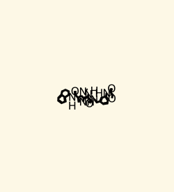 O=C1COc2ccc(CNC(=O)c3ncnc4c(C(=O)N[C@H]5CCCc6ccccc65)c[nH]c34)cc2N1